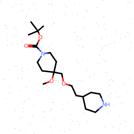 COC1(COCCC2CCNCC2)CCN(C(=O)OC(C)(C)C)CC1